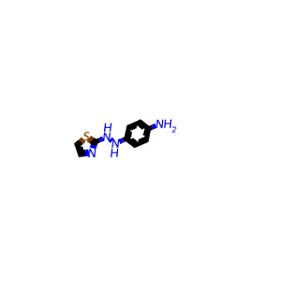 Nc1ccc(NNc2nccs2)cc1